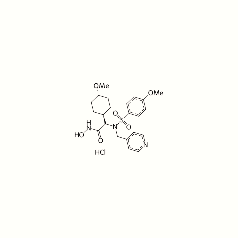 COc1ccc(S(=O)(=O)N(Cc2ccncc2)C(C(=O)NO)[C@H]2CC[C@H](OC)CC2)cc1.Cl